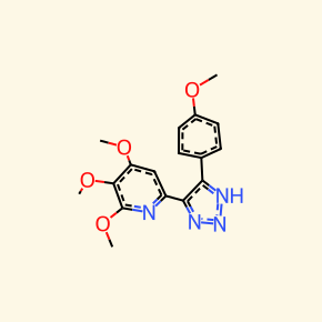 COc1ccc(-c2[nH]nnc2-c2cc(OC)c(OC)c(OC)n2)cc1